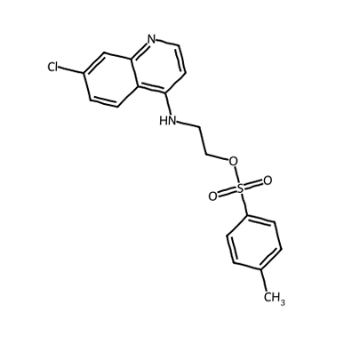 Cc1ccc(S(=O)(=O)OCCNc2ccnc3cc(Cl)ccc23)cc1